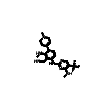 CNc1nc(Nc2ccc(C3=CCN(C)CC3)c(NC)c2C=N)ncc1C(F)(F)F